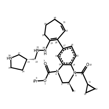 CC(C)OC(=O)N1C[C@H](C)N(C(=O)C2CC2)c2ccc(C3=C(NNC[C@@H]4CCNC4)CCCC=C3)cc21